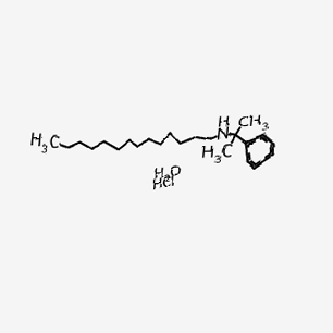 CCCCCCCCCCCCCCNC(C)(C)c1ccccc1.Cl.O